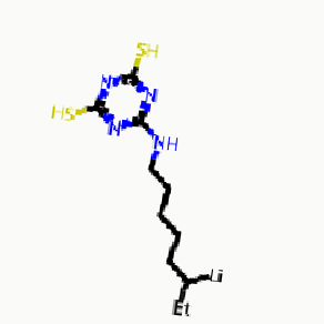 [Li][CH](CC)CCCCCNc1nc(S)nc(S)n1